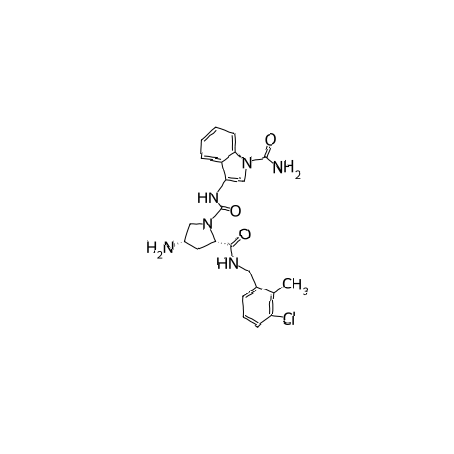 Cc1c(Cl)cccc1CNC(=O)[C@@H]1C[C@H](N)CN1C(=O)Nc1cn(C(N)=O)c2ccccc12